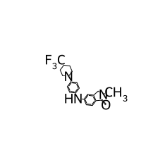 CN1Cc2cc(Nc3ccc(N4CCC(C(F)(F)F)CC4)cc3)ccc2C1=O